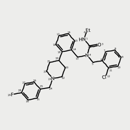 CCNC(=O)N(Cc1ccccc1Cl)Cc1ccccc1C1CCN(Cc2ccc(F)cc2)CC1